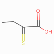 CCC(=S)C(=O)O